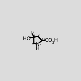 O=C(O)C1CC(O)(I)CN1